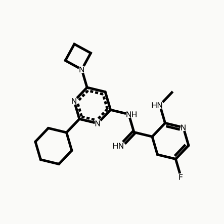 CNC1=NC=C(F)CC1C(=N)Nc1cc(N2CCC2)nc(C2CCCCC2)n1